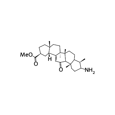 COC(=O)[C@H]1CC[C@]2(C)CC[C@]3(C)C(=CC(=O)C4[C@@]5(C)CCC(N)[C@H](C)C5CC[C@]43C)[C@@H]2C1